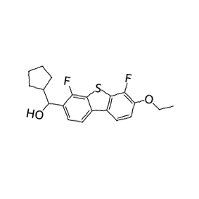 CCOc1ccc2c(sc3c(F)c(C(O)C4CCCC4)ccc32)c1F